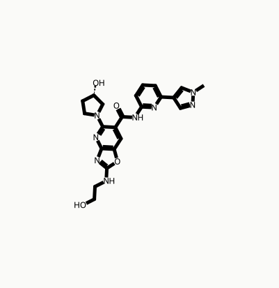 Cn1cc(-c2cccc(NC(=O)c3cc4oc(NCCO)nc4nc3N3CC[C@H](O)C3)n2)cn1